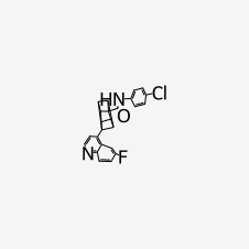 O=C(Nc1ccc(Cl)cc1)C12C3C4C1C1C2C3C41c1ccnc2ccc(F)cc12